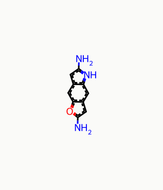 Nc1cc2cc3oc(N)cc3cc2[nH]1